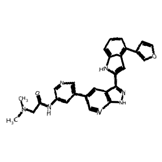 CN(C)CC(=O)Nc1cncc(-c2cnc3[nH]nc(-c4cc5c(-c6ccoc6)cccc5[nH]4)c3c2)c1